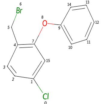 Clc1ccc(CBr)c(Oc2ccccc2)c1